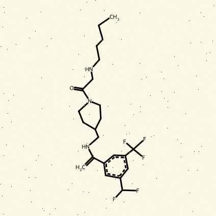 C=C(NCC1CCN(C(=O)CNCCCCC)CC1)c1cc(C(F)F)cc(C(F)(F)F)c1